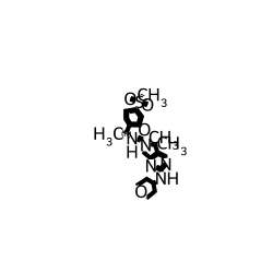 C[C@@H](NC(=O)N1Cc2nc(NC3CCOCC3)ncc2C1(C)C)c1ccc(S(C)(=O)=O)cc1